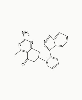 Cc1nc(N)nc2c1C(=O)CC(c1ccccc1-c1cncc3ccccc13)C2